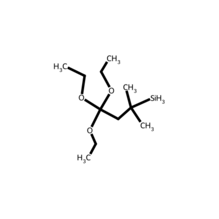 CCOC(CC(C)(C)[SiH3])(OCC)OCC